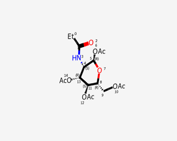 CCC(=O)N[C@@H]1[C@@H](OC(C)=O)O[C@H](COC(C)=O)[C@@H](OC(C)=O)[C@@H]1OC(C)=O